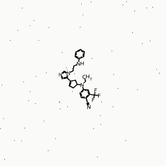 CCN(c1ccc(C#N)c(C(F)(F)F)c1)C1CC=C(c2cncn2CCNc2ccccc2)C1